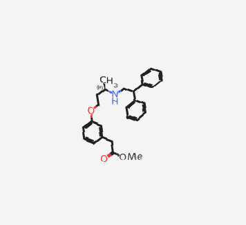 COC(=O)Cc1cccc(OCC[C@@H](C)NCC(c2ccccc2)c2ccccc2)c1